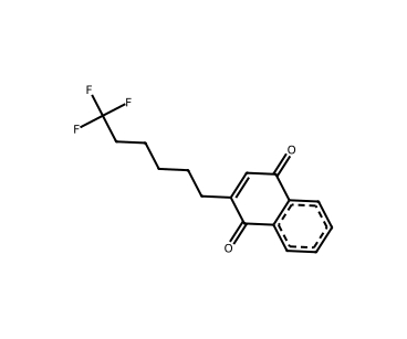 O=C1C=C(CCCCCC(F)(F)F)C(=O)c2ccccc21